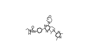 CCNC(=O)Nc1ccc(-c2nc3c(c(N4CCOCC4)n2)CCN(c2cc(C)nc(C)n2)C3C)cc1